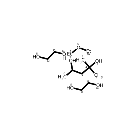 CC(O)CC(C)(C)O.CCOCC.OCCO.OCCO